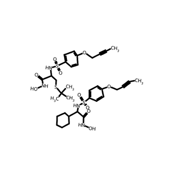 CC#CCOc1ccc(S(=O)(=O)NC(C(=O)NO)C2CCCCC2)cc1.CC#CCOc1ccc(S(=O)(=O)NC(CSC(C)(C)C)C(=O)NO)cc1